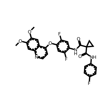 COc1cc2nccc(Oc3cc(F)c(NC(=O)C4(C(=O)Nc5ccc(F)cc5)CC4)cc3F)c2cc1OC